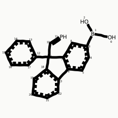 OB(O)c1ccc2c(c1)C(C=P)(c1ccccc1)c1ccccc1-2